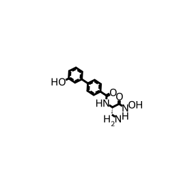 NC[C@H](NC(=O)c1ccc(-c2cccc(O)c2)cc1)C(=O)NO